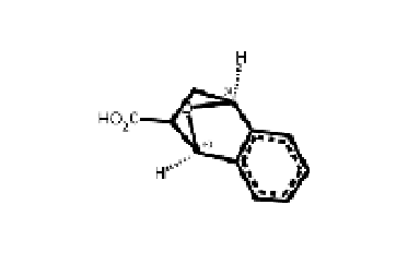 O=C(O)C1C[C@@H]2O[C@H]1c1ccccc12